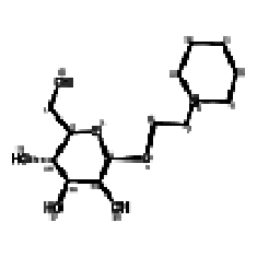 OCC1O[C@@H](OCCN2CCCCC2)C(O)C(O)[C@@H]1O